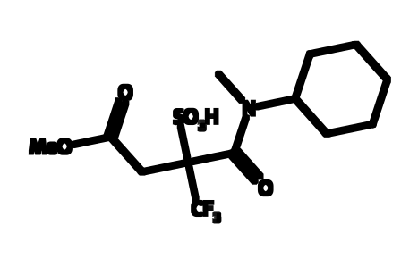 COC(=O)CC(C(=O)N(C)C1CCCCC1)(C(F)(F)F)S(=O)(=O)O